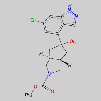 CC(C)(C)OC(=O)N1C[C@H]2CC(O)(c3cc(Cl)cc4[nH]ncc34)C[C@@H]2C1